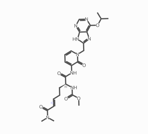 COC(=O)N[C@@H](CC/C=C/C(=O)N(C)C)C(=O)Nc1cccn(Cc2nc3c(OC(C)C)ncnc3[nH]2)c1=O